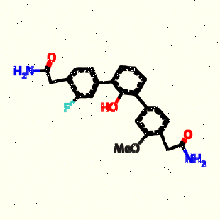 COc1cc(-c2cccc(-c3ccc(CC(N)=O)c(F)c3)c2O)ccc1CC(N)=O